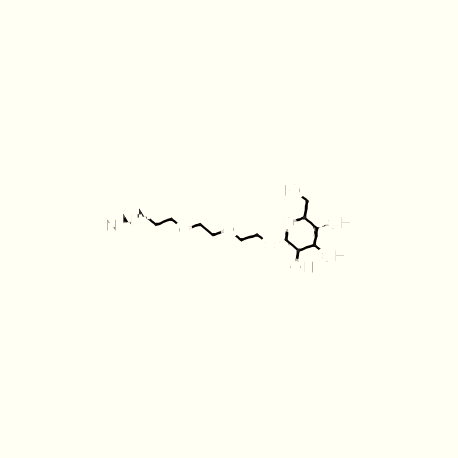 [N-]=[N+]=NCCOCCOCCO[C@@H]1OC(CO)[C@@H](O)C(O)C1O